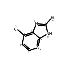 CCc1nc2c(Cl)ccnc2[nH]1